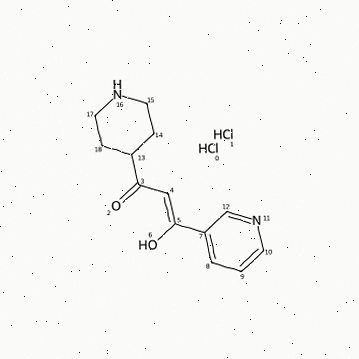 Cl.Cl.O=C(C=C(O)c1cccnc1)C1CCNCC1